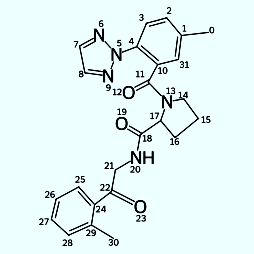 Cc1ccc(-n2nccn2)c(C(=O)N2CCCC2C(=O)NCC(=O)c2ccccc2C)c1